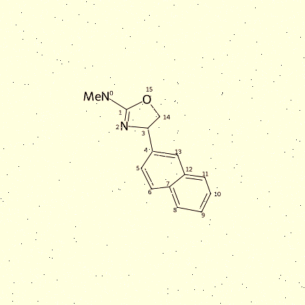 CNC1=NC(c2ccc3ccccc3c2)CO1